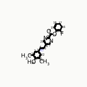 Cc1cc(/C=C/c2cnc(C(=O)OC3=C(F)CCC=C3)nc2)cc(C)c1O